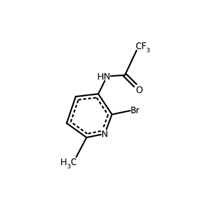 Cc1ccc(NC(=O)C(F)(F)F)c(Br)n1